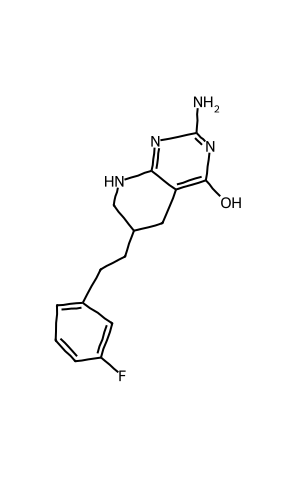 Nc1nc(O)c2c(n1)NCC(CCc1cccc(F)c1)C2